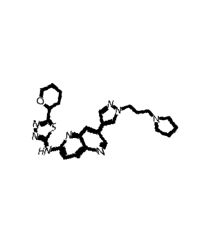 c1nc2ccc(Nc3nnc(C4CCCCO4)s3)nc2cc1-c1cnn(CCCN2CCCC2)c1